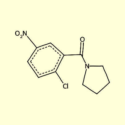 O=C(c1cc([N+](=O)[O-])ccc1Cl)N1CCCC1